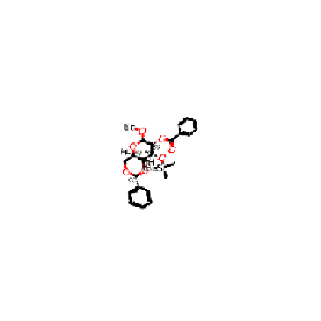 CCOC1O[C@@H]2CO[C@@H](c3ccccc3)O[C@H]2[C@@H](O[Si](C)(C)C(C)(C)C)[C@H]1OC(=O)c1ccccc1